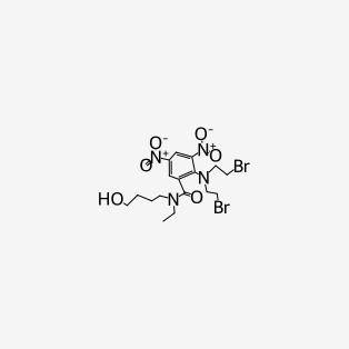 CCN(CCCCO)C(=O)c1cc([N+](=O)[O-])cc([N+](=O)[O-])c1N(CCBr)CCBr